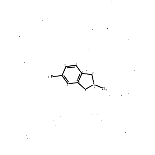 Fc1ccc2c(c1)CN(Cl)C2